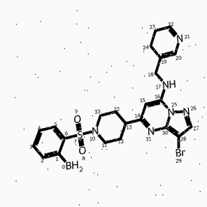 Bc1ccccc1S(=O)(=O)N1CCC(c2cc(NCC3=CN=CCC3)n3ncc(Br)c3n2)CC1